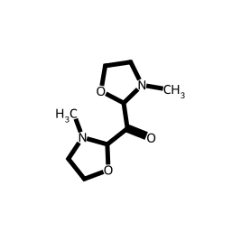 CN1CCOC1C(=O)C1OCCN1C